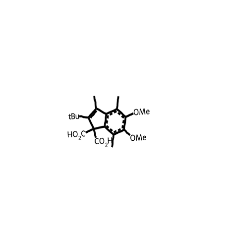 COc1c(C)c2c(c(C)c1OC)C(C(=O)O)(C(=O)O)C(C(C)(C)C)=C2C